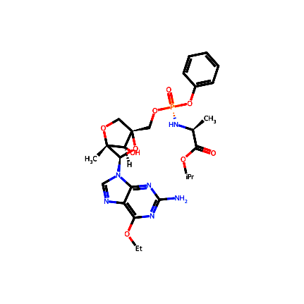 CCOc1nc(N)nc2c1ncn2[C@@H]1O[C@@]2(CO[P@](=O)(N[C@@H](C)C(=O)OC(C)C)Oc3ccccc3)CO[C@]1(C)[C@@H]2O